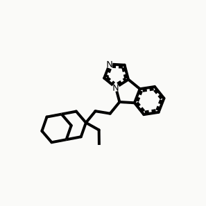 CCC1(CCC2c3ccccc3-c3cncn32)CC2CCCC(C2)C1